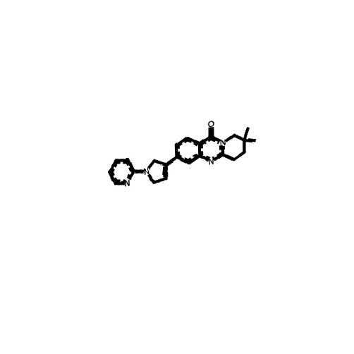 CC1(C)CCc2nc3cc(C4=CCN(c5ccccn5)C4)ccc3c(=O)n2C1